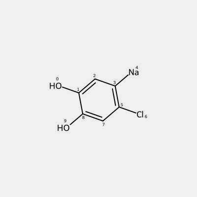 Oc1c[c]([Na])c(Cl)cc1O